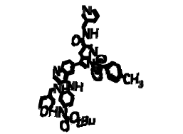 Cc1ccc(S(=O)(=O)n2cc(-c3ccc4ncc(NCC5CCOCC5)c(NC5CCC(NC(=O)OC(C)(C)C)CC5)c4c3)c3cc(C(=O)NCc4cccnc4)cnc32)cc1